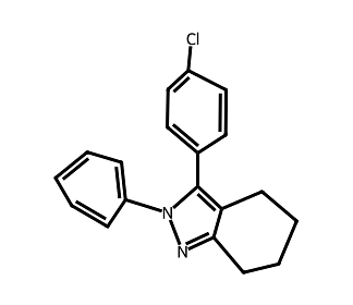 Clc1ccc(-c2c3c(nn2-c2ccccc2)CCCC3)cc1